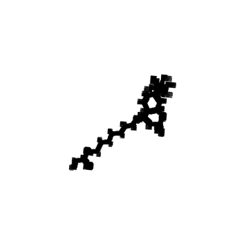 C=CC(=O)OCCCCCCCOc1cc(=S)oc2cc(S(F)(F)(F)(F)F)ccc12